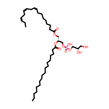 CC/C=C\C/C=C\C/C=C\CCCCCCCC(=O)OC[C@H](COP(=O)(O)OC[C@@H](O)CO)OC(=O)CCCCCCCCCCCCCCCCC